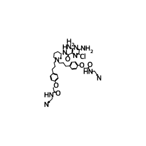 N#CCNC(=O)COc1ccc(CCC[N+]2(CCCc3ccc(OCC(=O)NCC#N)cc3)CCC[C@H](NC(=O)c3nc(Cl)c(N)nc3N)C2)cc1